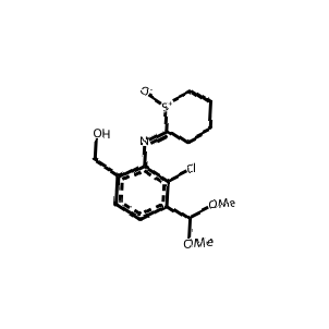 COC(OC)c1ccc(CO)c(N=C2CCCC[S+]2[O-])c1Cl